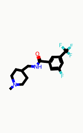 CN1CCC(CNC(=O)c2cc(F)cc(C(F)(F)F)c2)CC1